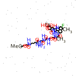 CC[C@]1(O)c2cc3n(c(=O)c2COC1O)Cc1c-3nc2cc(F)c(C)c3c2c1[C@@H](NC(=O)[C@H](C)NC(=O)COCNC(=O)CNC(=O)CNC(=O)[C@@H](N)CCCCNC(=O)COCCOC)CC3